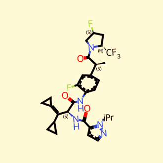 CC(C)n1nccc1C(=O)N[C@H](C(=O)Nc1ccc([C@H](C)C(=O)N2C[C@@H](F)C[C@@H]2C(F)(F)F)cc1F)C(=C1CC1)C1CC1